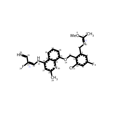 CO/C(C)=N\Cc1cc(F)cc(Cl)c1COc1cccc2c(N/C=C(/F)C=N)cc(C)nc12